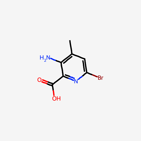 Cc1cc(Br)nc(C(=O)O)c1N